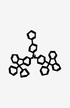 c1ccc(-c2ccc(N(c3ccc(C4(c5ccccc5)c5ccccc5-c5ccccc54)cc3)c3ccc4c(c3)-c3ccccc3C4(c3ccccc3)c3ccccc3)cc2)cc1